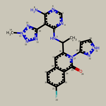 CC(Nc1ncnc(N)c1-c1nnn(C)n1)c1cc2ccc(F)cc2c(=O)n1-c1cc[nH]n1